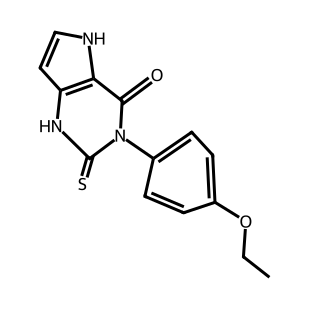 CCOc1ccc(-n2c(=S)[nH]c3cc[nH]c3c2=O)cc1